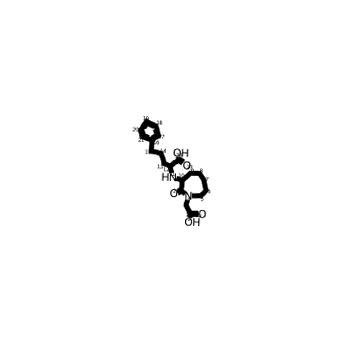 O=C(O)CN1CCCCCC(NC(CCCc2ccccc2)C(=O)O)C1=O